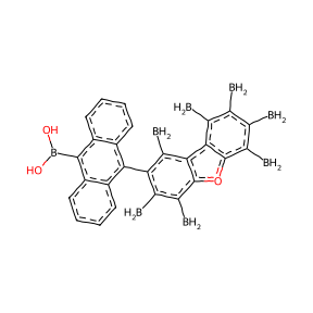 Bc1c(B)c(B)c2c(oc3c(B)c(B)c(-c4c5ccccc5c(B(O)O)c5ccccc45)c(B)c32)c1B